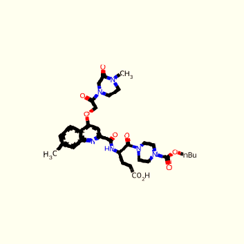 CCCCOC(=O)N1CCN(C(=O)C(CCC(=O)O)NC(=O)c2cc(OCC(=O)N3CCN(C)C(=O)C3)c3ccc(C)cc3n2)CC1